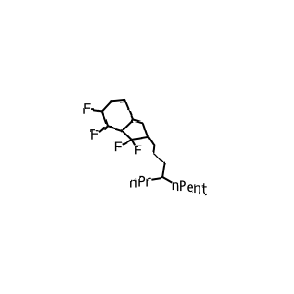 CCCCCC(CCC)CCCC1CC2CCC(F)C(F)C2C1(F)F